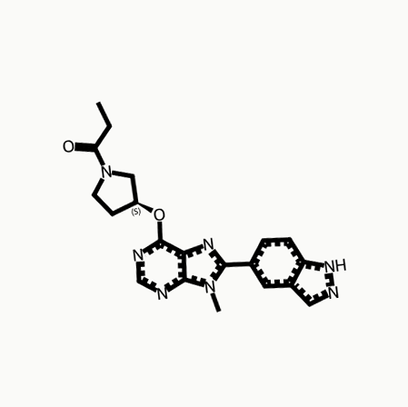 CCC(=O)N1CC[C@H](Oc2ncnc3c2nc(-c2ccc4[nH]ncc4c2)n3C)C1